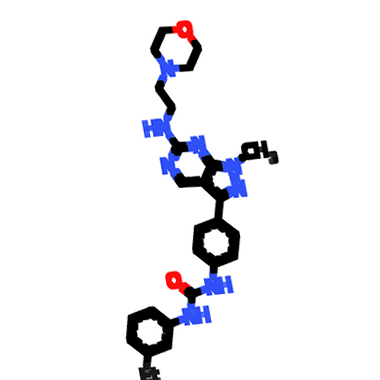 CCc1cccc(NC(=O)Nc2ccc(-c3nn(C)c4nc(NCCN5CCOCC5)ncc34)cc2)c1